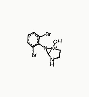 O[N+]12CCNC1N2c1c(Br)cccc1Br